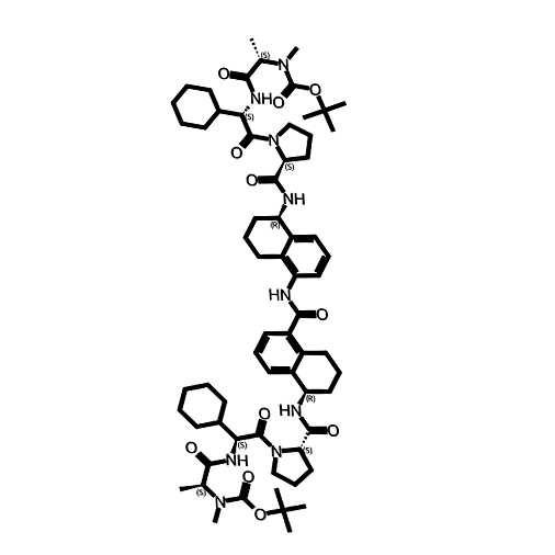 C[C@@H](C(=O)N[C@H](C(=O)N1CCC[C@H]1C(=O)N[C@@H]1CCCc2c(NC(=O)c3cccc4c3CCC[C@H]4NC(=O)[C@@H]3CCCN3C(=O)[C@@H](NC(=O)[C@H](C)N(C)C(=O)OC(C)(C)C)C3CCCCC3)cccc21)C1CCCCC1)N(C)C(=O)OC(C)(C)C